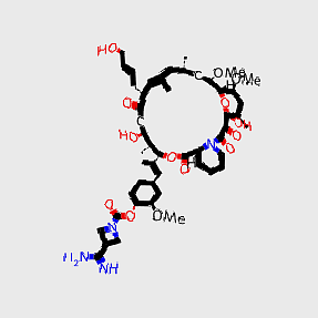 CO[C@H]1C[C@@H](C)C/C(C)=C/[C@@H](C/C=C/CO)C(=O)C[C@H](O)[C@@H](C)[C@@H](/C(C)=C/[C@@H]2CC[C@@H](OC(=O)N3CC(C(=N)N)C3)[C@H](OC)C2)OC(=O)[C@@H]2CCCCN2C(=O)C(=O)[C@]2(O)O[C@H]1[C@@H](OC)C[C@H]2C